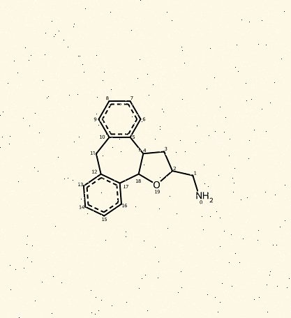 NCC1CC2c3ccccc3Cc3ccccc3C2O1